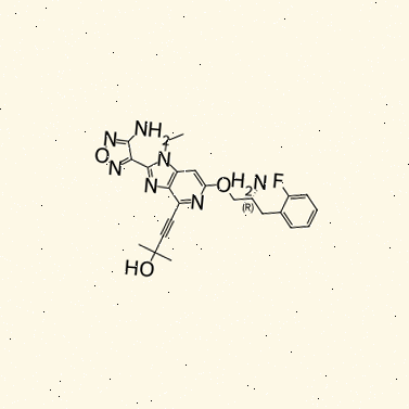 CCn1c(-c2nonc2N)nc2c(C#CC(C)(C)O)nc(OC[C@H](N)Cc3ccccc3F)cc21